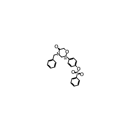 O=C1CO[C@@H](c2ccc(OS(=O)(=O)c3ccccc3)cc2)CN1Cc1ccccc1